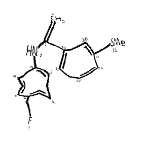 C=C(Nc1ccc(F)cc1)c1cccc(SC)c1